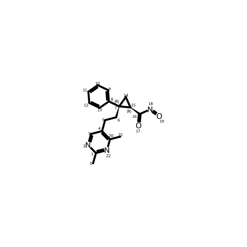 Cc1ncc(CC[C@@]2(c3ccccc3)C[C@H]2C(=O)N=O)c(C)n1